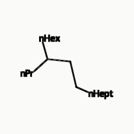 [CH2]CCCCCC(CCC)CCCCCCCCC